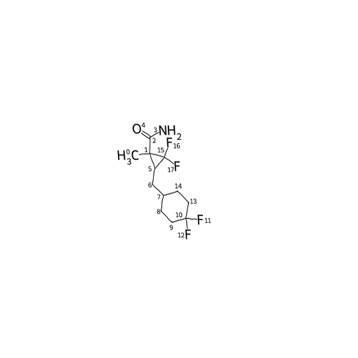 CC1(C(N)=O)C(CC2CCC(F)(F)CC2)C1(F)F